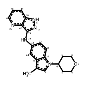 Cc1cn(C2CCOCC2)c2ccc(Nc3n[nH]c4cccnc34)cc12